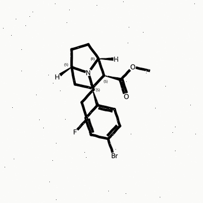 COC(=O)[C@H]1[C@@H](c2ccc(Br)cc2)C[C@@H]2CC[C@H]1N2CCCF